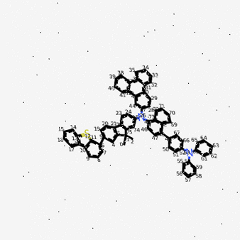 CC1(C)c2cc(-c3cccc4c3sc3ccccc34)ccc2-c2ccc(N(c3ccc4c5ccccc5c5ccccc5c4c3)c3ccc(-c4ccc(N(c5ccccc5)c5ccccc5)cc4)c4ccccc34)cc21